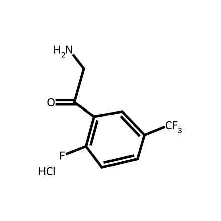 Cl.NCC(=O)c1cc(C(F)(F)F)ccc1F